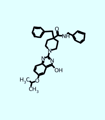 CC(C)Oc1ccc2nc(N3CCC(Cc4ccccc4)(C(=O)NCc4ccccc4)CC3)nc(O)c2c1